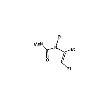 CC/C=C(\CC)N(CC)C(=O)NC